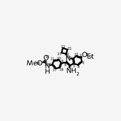 CCOc1ccc2c(N)c(-c3ccc(NC(=O)OC)cc3)n(C3CCC3)c2c1